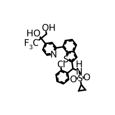 O=S(=O)(NC(c1cc2cccc(-c3cc(C(O)(CO)C(F)(F)F)ccn3)c2s1)c1ccccc1Cl)C1CC1